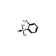 O=[N+]([O-])c1c[c]ccc1[As](=O)(O)O